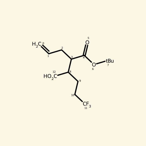 C=CCC(C(=O)OC(C)(C)C)C(CCC(F)(F)F)C(=O)O